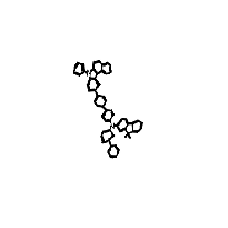 CC1(C)c2ccccc2-c2ccc(N(c3ccc(-c4ccc(-c5ccc6c(c5)c5c7ccccc7ccc5n6-c5ccccc5)cc4)cc3)c3cccc(-c4ccccc4)c3)cc21